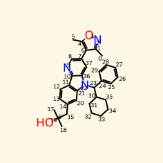 Cc1noc(C)c1-c1cnc2c3ccc(CC(C)(C)O)cc3n(C(c3ccccc3)C3CCCCC3)c2c1